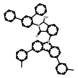 Cc1cccc(-c2ccc3c(c2)c2cc(-c4cccc(C)c4)ccc2n3-c2cccc3c2C(=O)N(c2ccc(-c4ccccc4)cc2-c2ccccc2)C3O)c1